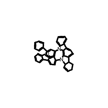 C1=CC2C(CC1)c1ccc3c4ccccc4n(-c4cccc(-c5ccccc5)c4)c3c1N2c1ccc2c(c1)oc1ccccc12